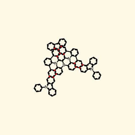 c1ccc(-c2cccc(-c3ccccc3)c2N2c3cc(-c4ccc5c(c4)c4ccccc4n5-c4ccccc4)ccc3B3c4ccc(-c5ccc6c(c5)c5ccccc5n6-c5ccccc5)cc4N(c4c(-c5ccccc5)cccc4-c4ccccc4)c4cc(-n5c6ccccc6c6ccccc65)cc2c43)cc1